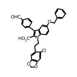 O=Cc1ccc(-c2c(C(=O)O)n(CCc3cc4c(cc3Cl)OCO4)c3ccc(OCc4ccccc4)cc23)cc1